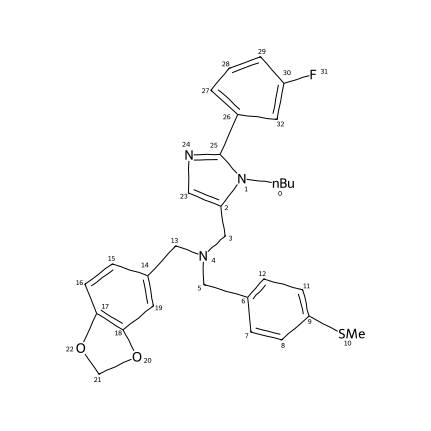 CCCCn1c(CN(Cc2ccc(SC)cc2)Cc2ccc3c(c2)OCO3)cnc1-c1cccc(F)c1